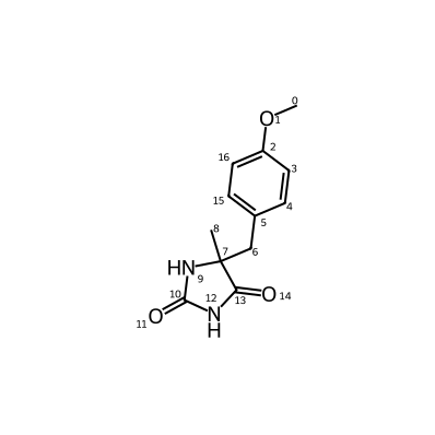 COc1ccc(CC2(C)NC(=O)NC2=O)cc1